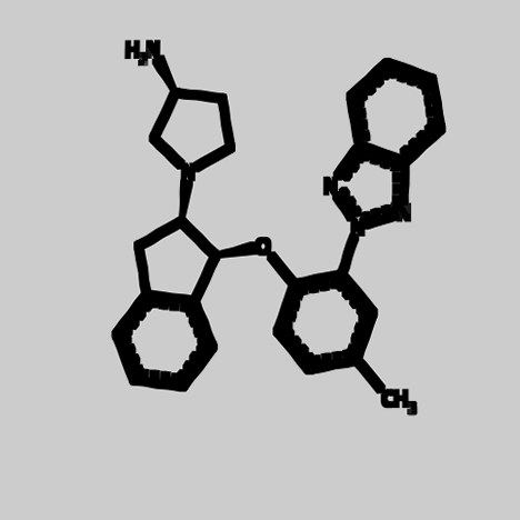 Cc1ccc(O[C@H]2c3ccccc3C[C@H]2N2CC[C@H](N)C2)c(-n2nc3ccccc3n2)c1